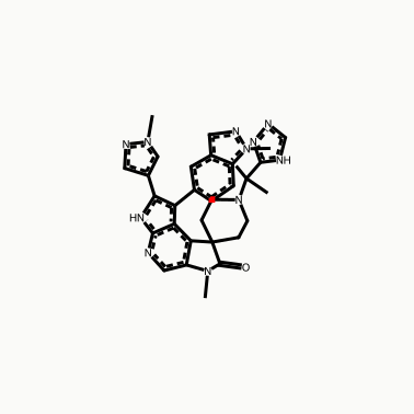 CN1C(=O)C2(CCN(C(C)(C)c3nnc[nH]3)CC2)c2c1cnc1[nH]c(-c3cnn(C)c3)c(-c3ccc4c(cnn4C)c3)c21